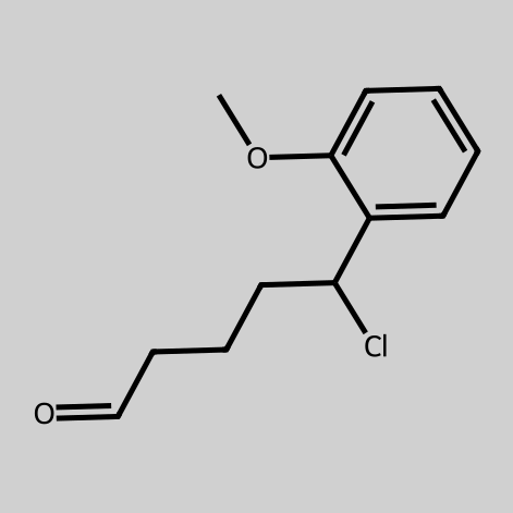 COc1ccccc1C(Cl)CCCC=O